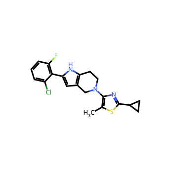 Cc1sc(C2CC2)nc1N1CCc2[nH]c(-c3c(F)cccc3Cl)cc2C1